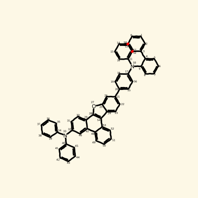 c1ccc(-c2ccccc2N(c2ccccc2)c2ccc(-c3ccc4c(c3)oc3c5ccc(N(c6ccccc6)c6ccccc6)cc5c5ccccc5c43)cc2)cc1